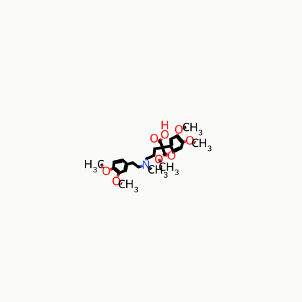 COC(=O)C(CCCN(C)CCc1ccc(OC)c(OC)c1)(C(=O)O)c1ccc(OC)c(OC)c1